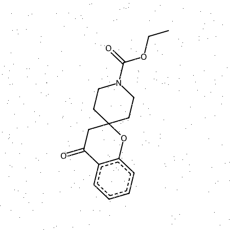 CCOC(=O)N1CCC2(CC1)CC(=O)c1ccccc1O2